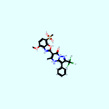 COc1ccc(S(C)(=O)=O)c2oc(-c3c(C)[nH]c4c(-c5ccccc5)c(C(F)(F)F)nn4c3=O)nc12